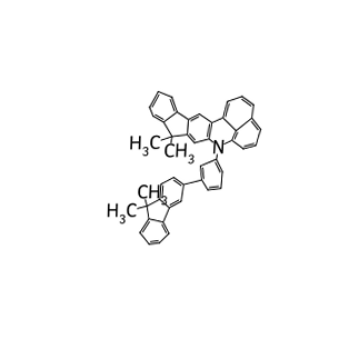 CC1(C)c2ccccc2-c2cc(-c3cccc(N4c5cc6c(cc5-c5cccc7cccc4c57)-c4ccccc4C6(C)C)c3)ccc21